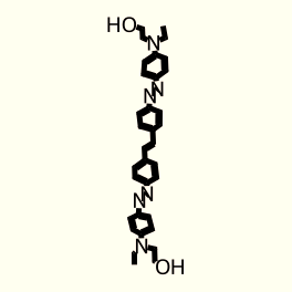 CCN(CCO)c1ccc(/N=N/c2ccc(/C=C/c3ccc(/N=N/c4ccc(N(CC)CCO)cc4)cc3)cc2)cc1